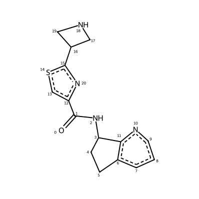 O=C(NC1CCc2cccnc21)c1csc(C2CNC2)n1